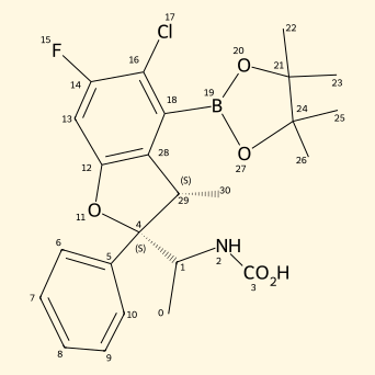 CC(NC(=O)O)[C@]1(c2ccccc2)Oc2cc(F)c(Cl)c(B3OC(C)(C)C(C)(C)O3)c2[C@@H]1C